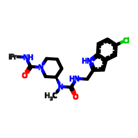 CC(C)NC(=O)N1CCC[C@@H](N(C)C(=O)NCc2cc3cc(Cl)ccc3[nH]2)C1